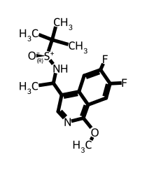 COc1ncc(C(C)N[S@@+]([O-])C(C)(C)C)c2cc(F)c(F)cc12